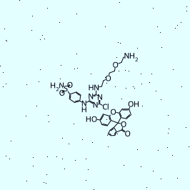 NCCOCCOCCNc1nc(Cl)nc(Nc2ccc(S(N)(=O)=O)cc2)n1.O=C1OC2(c3ccc(O)cc3Oc3cc(O)ccc32)c2ccccc21